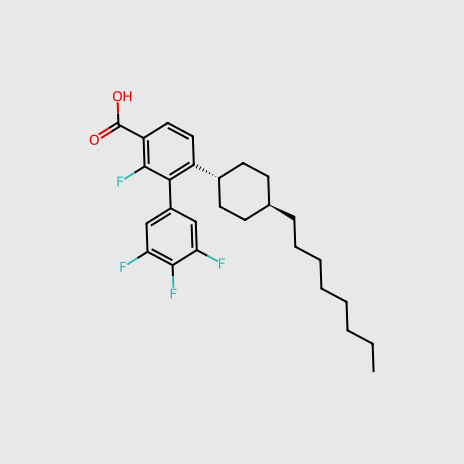 CCCCCCCC[C@H]1CC[C@H](c2ccc(C(=O)O)c(F)c2-c2cc(F)c(F)c(F)c2)CC1